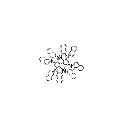 N#Cc1c(-n2c3ccc4ccccc4c3c3c4ccccc4ccc32)cc(-n2c3ccc4ccccc4c3c3c4ccccc4ccc32)c(C#N)c1-c1c(C#N)c(-n2c3ccc4ccccc4c3c3c4ccccc4ccc32)cc(-n2c3ccc4ccccc4c3c3c4ccccc4ccc32)c1C#N